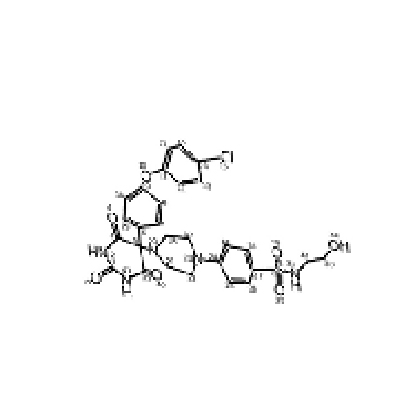 O=C1NC(=O)C(c2ccc(Oc3ccc(Cl)cc3)cc2)(N2CCN(c3ccc(S(=O)(=O)NCCO)cc3)CC2)C(=O)N1